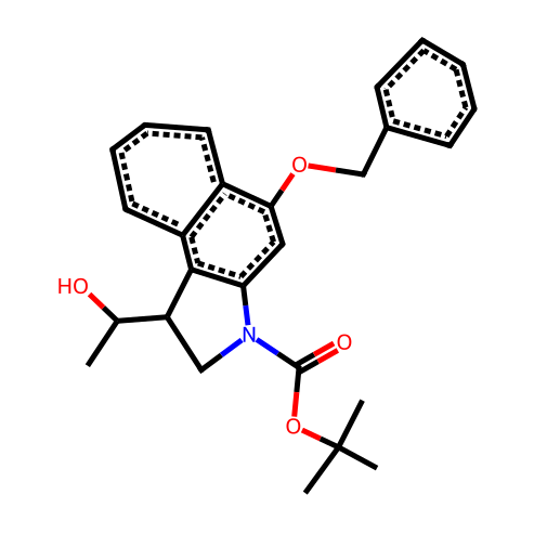 CC(O)C1CN(C(=O)OC(C)(C)C)c2cc(OCc3ccccc3)c3ccccc3c21